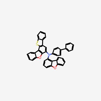 c1ccc(-c2ccc(N(c3cc4c5ccccc5sc4c4c3oc3ccccc34)c3cccc4oc5ccccc5c34)cc2)cc1